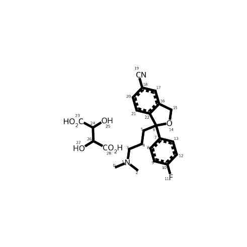 CN(C)CCCC1(c2ccc(F)cc2)OCc2cc(C#N)ccc21.O=C(O)C(O)C(O)C(=O)O